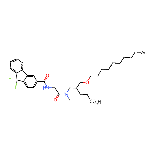 CC(=O)CCCCCCCCCOCC(CCC(=O)O)CN(C)C(=O)CNC(=O)c1ccc2c(c1)-c1ccccc1C2(F)F